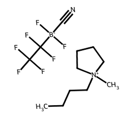 CCCC[N+]1(C)CCCC1.N#C[B-](F)(F)C(F)(F)C(F)(F)F